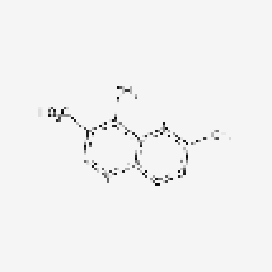 Cc1ccc2ncc(C(=O)O)c(C)c2n1